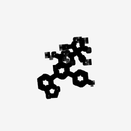 C#CC(C(=O)Oc1c(-c2ccc(F)cc2)cc(-c2cccc3c2OCO3)nc1C(C)C)(C(C)O)[PH](=O)O